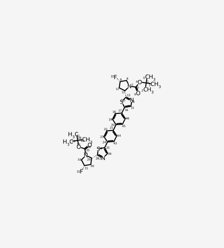 CC(C)(C)OC(=O)N1C[C@@H](F)C[C@H]1c1ncc(-c2ccc(-c3ccc(-c4cnc([C@@H]5C[C@H](F)CN5C(=O)OC(C)(C)C)s4)cc3)cc2)s1